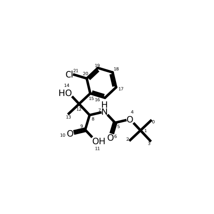 CC(C)(C)OC(=O)NC(C(=O)O)C(C)(O)c1ccccc1Cl